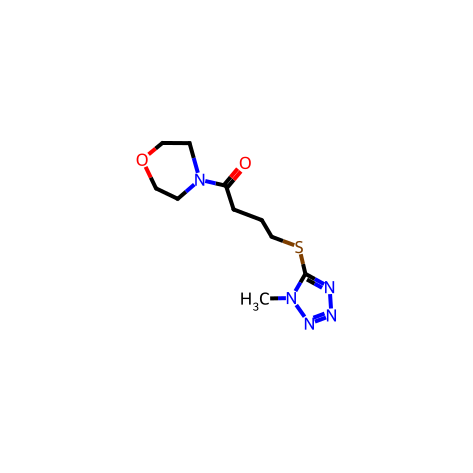 Cn1nnnc1SCCCC(=O)N1CCOCC1